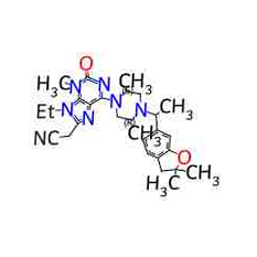 CCn1c(CC#N)nc2c(N3C[C@@H](C)N(C(C)c4ccc5c(c4)OC(C)(C)C5)C[C@@H]3C)nc(=O)n(C)c21